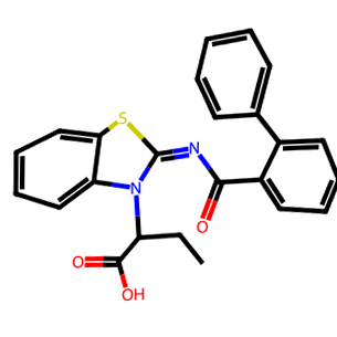 CCC(C(=O)O)n1c(=NC(=O)c2ccccc2-c2ccccc2)sc2ccccc21